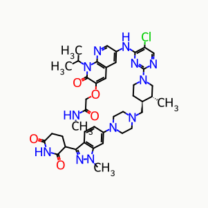 CNC(=O)COc1cc2cc(Nc3nc(N4CC[C@H](CN5CCN(c6ccc7c(C8CCC(=O)NC8=O)nn(C)c7c6)CC5)[C@@H](C)C4)ncc3Cl)cnc2n(C(C)C)c1=O